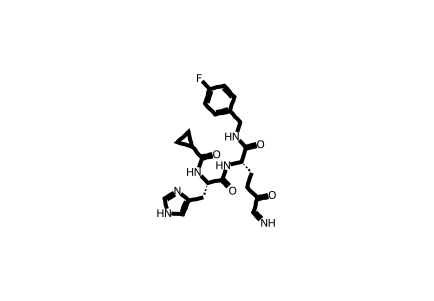 N=CC(=O)CC[C@H](NC(=O)[C@H](Cc1c[nH]cn1)NC(=O)C1CC1)C(=O)NCc1ccc(F)cc1